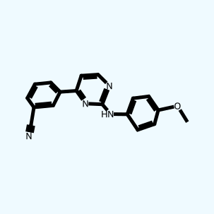 COc1ccc(Nc2nccc(-c3cccc(C#N)c3)n2)cc1